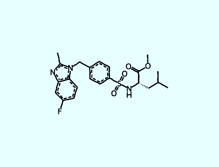 COC(=O)[C@H](CC(C)C)NS(=O)(=O)c1ccc(Cn2c(C)nc3cc(F)ccc32)cc1